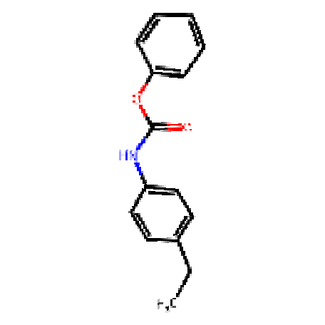 CCc1ccc(NC(=O)Oc2ccccc2)cc1